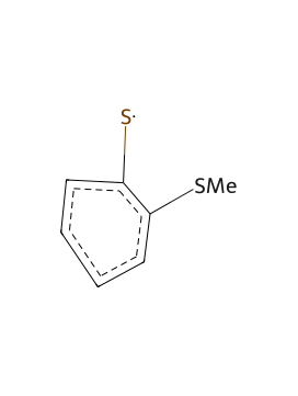 CSc1ccccc1[S]